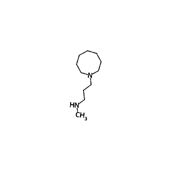 CNCCCN1CCCCCCC1